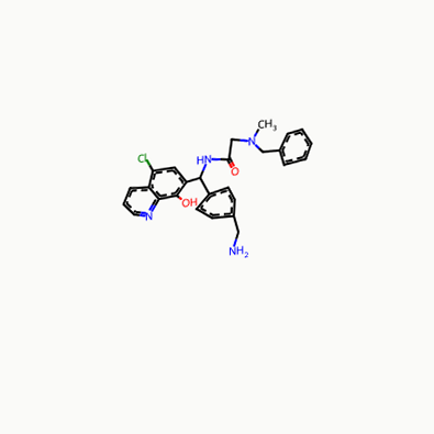 CN(CC(=O)NC(c1ccc(CN)cc1)c1cc(Cl)c2cccnc2c1O)Cc1ccccc1